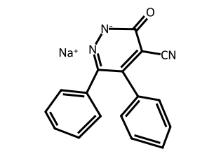 N#Cc1c(-c2ccccc2)c(-c2ccccc2)n[n-]c1=O.[Na+]